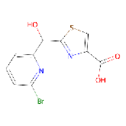 O=C(O)c1csc(C(O)c2cccc(Br)n2)n1